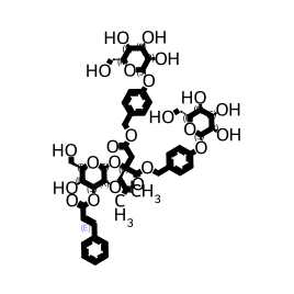 CC(C)C[C@](CC(=O)OCc1ccc(O[C@@H]2O[C@H](CO)[C@@H](O)[C@H](O)[C@H]2O)cc1)(O[C@@H]1O[C@H](CO)[C@@H](O)[C@H](OC(=O)/C=C/c2ccccc2)[C@H]1O)C(=O)OCc1ccc(O[C@@H]2O[C@H](CO)[C@@H](O)[C@H](O)[C@H]2O)cc1